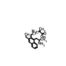 C=C(C)C(=O)O.CCc1cc2ccccc2c(CC(C)N)c1CC